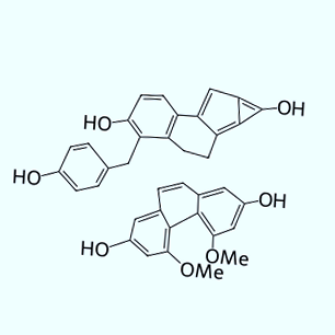 COc1cc(O)cc2ccc3cc(O)cc(OC)c3c12.Oc1ccc(Cc2c(O)ccc3c2CCc2c-3cc3c(O)c2-3)cc1